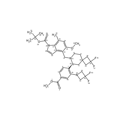 COC(=O)c1ccc([C@@H]2CC3(CCN2Cc2c(OC)cc(C)c4c2ccn4C(=O)OC(C)(C)C)CC(F)(F)C3)c(N2CC(F)(F)C2)c1